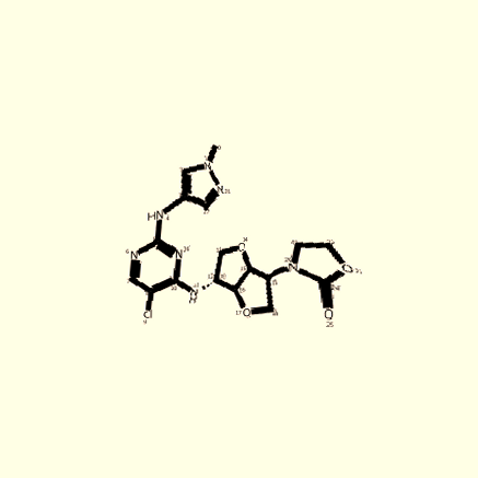 Cn1cc(Nc2ncc(Cl)c(N[C@@H]3COC4C3OCC4N3CCOC3=O)n2)cn1